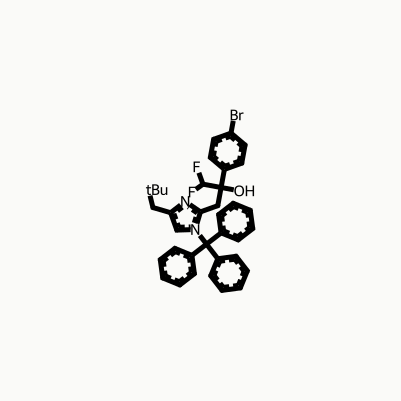 CC(C)(C)Cc1cn(C(c2ccccc2)(c2ccccc2)c2ccccc2)c(CC(O)(c2ccc(Br)cc2)C(F)F)n1